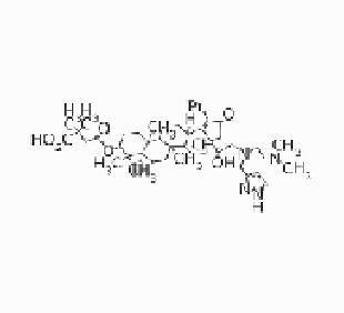 CC(C)C1=C2[C@H]3CCC4[C@@]5(C)CC[C@H](OC(=O)CC(C)(C)C(=O)O)C(C)(C)[C@@H]5CC[C@@]4(C)[C@]3(C)CC[C@@]2([C@@H](O)CN(CCN(C)C)Cc2cc[nH]n2)CC1=O